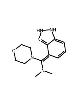 CN(C)C(=c1cccc2c1=NNN2)N1CCOCC1